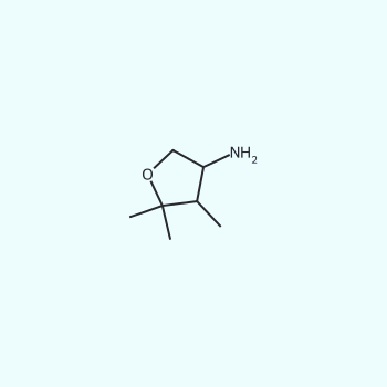 CC1C(N)COC1(C)C